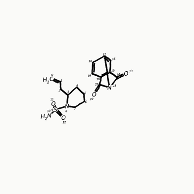 C=CCC1CCCCN1S(N)(=O)=O.O=C1c2cc3ccc2c(=O)n31